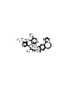 CNC(=O)Oc1csc(C)c1Nc1nc(Nc2ccc3c(c2)-c2nccn2CCC3)ncc1Cl